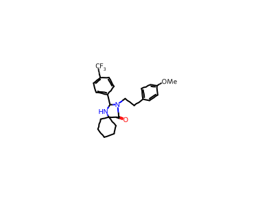 COc1ccc(CCN2C(=O)C3(CCCCC3)NC2c2ccc(C(F)(F)F)cc2)cc1